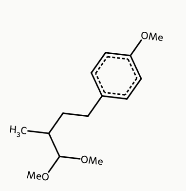 COc1ccc(CCC(C)C(OC)OC)cc1